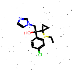 CCSC1(C(O)(Cn2ccnc2)c2ccc(Cl)cc2)CC1